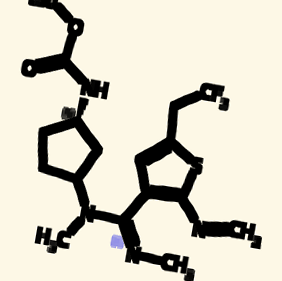 C=Nc1sc(CC(F)(F)F)cc1/C(=N\C)N(C)C1CC[C@H](NC(=O)OC(C)(C)C)C1